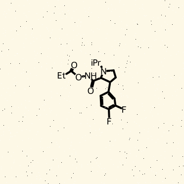 CCC(=O)ONC(=O)C1C(c2ccc(F)c(F)c2)CCN1C(C)C